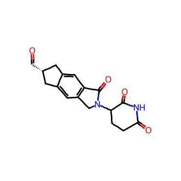 O=C[C@H]1Cc2cc3c(cc2C1)C(=O)N(C1CCC(=O)NC1=O)C3